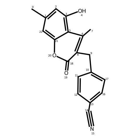 Cc1cc(O)c2c(C)c(Cc3ccc(C#N)cc3)c(=O)oc2c1